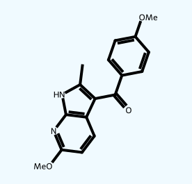 COc1ccc(C(=O)c2c(C)[nH]c3nc(OC)ccc23)cc1